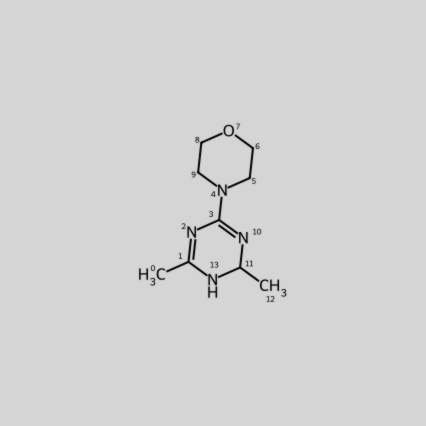 CC1=NC(N2CCOCC2)=NC(C)N1